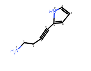 NCCC#Cc1ccc[nH]1